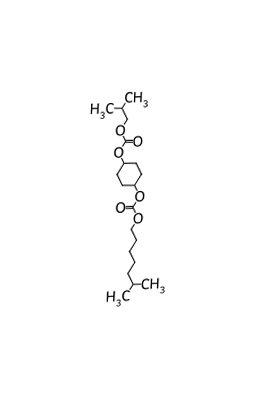 CC(C)CCCCCOC(=O)OC1CCC(OC(=O)OCC(C)C)CC1